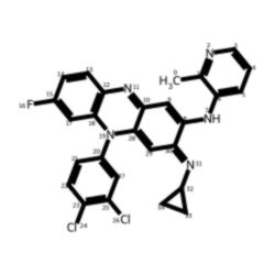 Cc1ncccc1Nc1cc2nc3ccc(F)cc3n(-c3ccc(Cl)c(Cl)c3)c-2c/c1=N\C1CC1